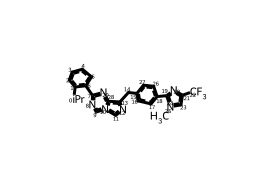 CC(C)c1ccccc1-c1ncn2cnc(Cc3ccc(-c4nc(C(F)(F)F)cn4C)cc3)c2n1